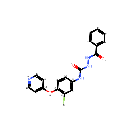 O=C(NNC(=O)c1ccccc1)Nc1ccc(Oc2ccncc2)c(F)c1